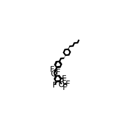 CCCCC[C@H]1CC[C@H](CCc2ccc(C(F)(F)Oc3cc(F)c(OC(F)(F)F)c(F)c3)cc2)CC1